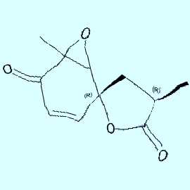 C[C@@H]1C[C@]2(C=CC(=O)C3(C)OC32)OC1=O